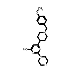 COc1ccc(CN2CCC(c3cc(O)nc(N4CCOCC4)n3)CC2)cc1